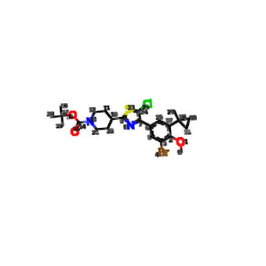 COc1c(Br)cc(-c2nc(C3CCN(C(=O)OC(C)(C)C)CC3)sc2Cl)cc1C1(C)CC1